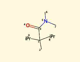 CC(C)C(C)(C(=O)N(C)C)C(C)C